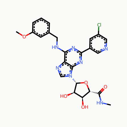 CNC(=O)[C@H]1O[C@@H](n2cnc3c(NCc4cccc(OC)c4)nc(-c4cncc(Cl)c4)nc32)[C@H](O)[C@@H]1O